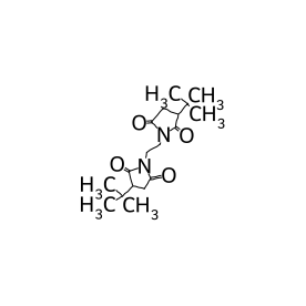 CC(C)(C)C1CC(=O)N(CCN2C(=O)CC(C(C)(C)C)C2=O)C1=O